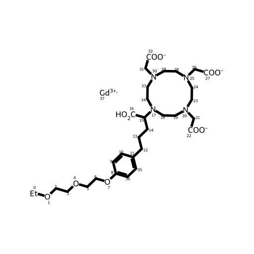 CCOCCOCCOc1ccc(CCCC(C(=O)O)N2CCN(CC(=O)[O-])CCN(CC(=O)[O-])CCN(CC(=O)[O-])CC2)cc1.[Gd+3]